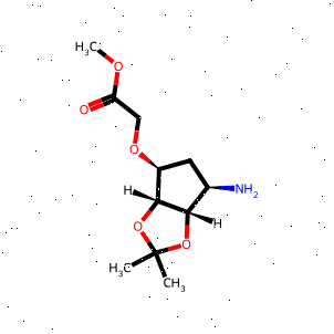 COC(=O)CO[C@H]1C[C@@H](N)[C@@H]2OC(C)(C)O[C@@H]21